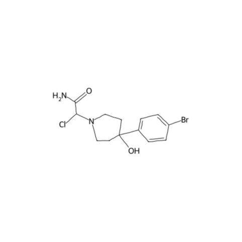 NC(=O)C(Cl)N1CCC(O)(c2ccc(Br)cc2)CC1